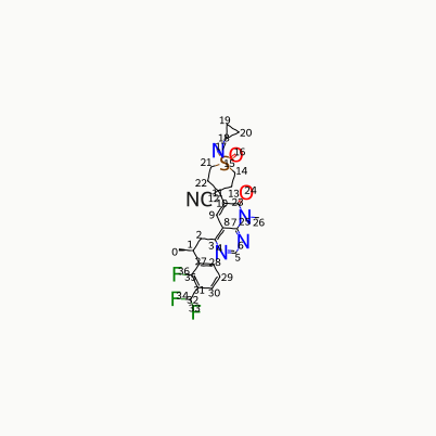 C[C@@H](Cc1ncnc2c1cc(C1(C#N)CCS(=O)(=NC3CC3)CC1)c(=O)n2C)c1cccc(C(F)F)c1F